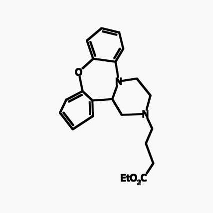 CCOC(=O)CCCN1CCN2c3ccccc3Oc3ccccc3C2C1